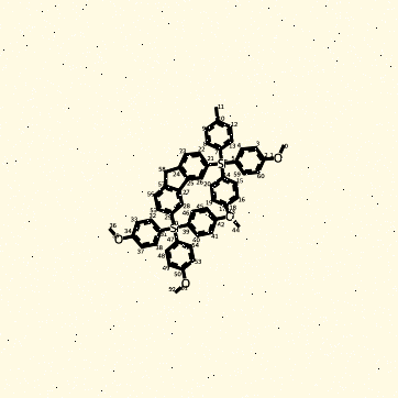 COc1ccc([Si](c2ccc(C)cc2)(c2ccc(C)cc2)c2ccc3c(c2)-c2cc([Si](c4ccc(OC)cc4)(c4ccc(OC)cc4)c4ccc(OC)cc4)ccc2C3)cc1